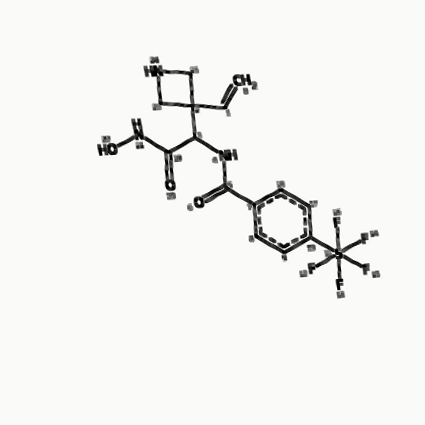 C=CC1(C(NC(=O)c2ccc(S(F)(F)(F)(F)F)cc2)C(=O)NO)CNC1